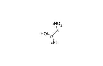 CCC(O)C[N+](=O)[O-]